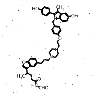 Cc1c(-c2ccc(O)cc2)n(Cc2ccc(OCCN3CCN(CCCc4ccc5occ(C(C)CCC(=O)NC=O)c5c4)CC3)cc2)c2ccc(O)cc12